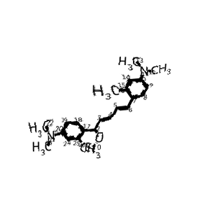 CCOC(C=CC=Cc1ccc(N(C)C)cc1C)c1ccc(N(C)C)cc1C